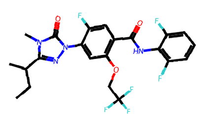 CCC(C)c1nn(-c2cc(OCC(F)(F)F)c(C(=O)Nc3c(F)cccc3F)cc2F)c(=O)n1C